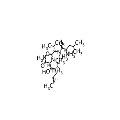 C/C=C/C[C@@H](C)[C@@H](O)[C@@H](C(N)=O)N(C)C(=O)[C@H](C(C)C)N(C)C(=O)[C@H](N)CC(C)C